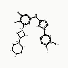 Cc1cc(Nc2ncn(-c3ccc(F)c(F)c3)n2)cc(N2CC(N3CCOCC3)C2)c1C